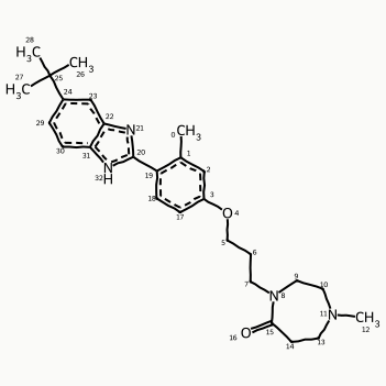 Cc1cc(OCCCN2CCN(C)CCC2=O)ccc1-c1nc2cc(C(C)(C)C)ccc2[nH]1